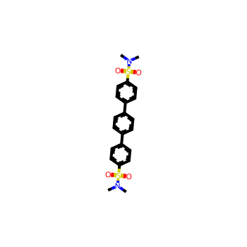 CN(C)S(=O)(=O)c1ccc(-c2ccc(-c3ccc(S(=O)(=O)N(C)C)cc3)cc2)cc1